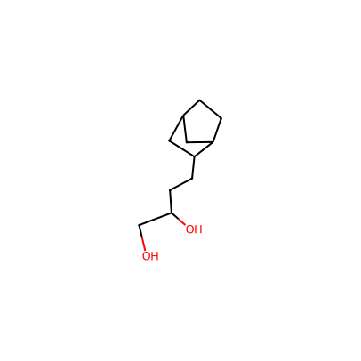 OCC(O)CCC1CC2CCC1C2